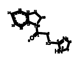 O=C(CSC1=NCCN1)N1CCc2ccccc21